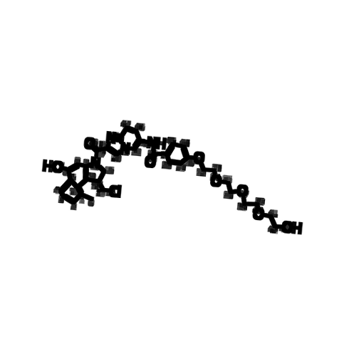 Cc1cccc2c(O)cc3c(c12)[C@H](CCl)CN3C(=O)c1cn2cc(NC(=O)c3ccc(OCCOCCOCCOCCO)cc3)ccc2n1